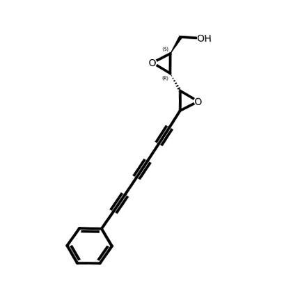 OC[C@@H]1O[C@H]1C1OC1C#CC#CC#Cc1ccccc1